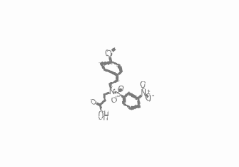 COc1ccc(CCN(CCC(=O)O)S(=O)(=O)c2cccc([N+](=O)[O-])c2)cc1